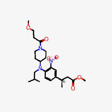 COCCC(=O)N1CCC(N(CC(C)C)c2ccc([C@H](C)CC(=O)OC)cc2[N+](=O)[O-])CC1